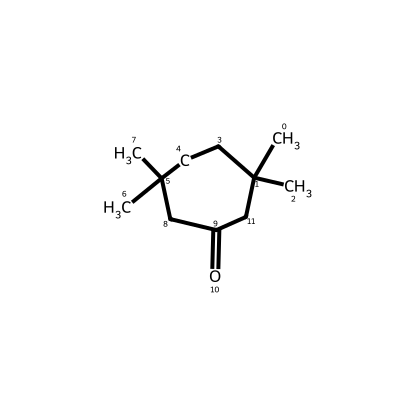 CC1(C)CCC(C)(C)CC(=O)C1